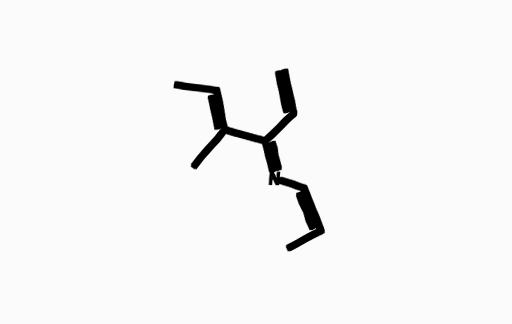 C=CC(=N\C=C/C)/C(C)=C/C